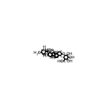 CC1=C2C[C@H]3[C@@H](CC=C4C[C@@H](OC5CC(CO)C(O)C(O)C5O)CC[C@@]43C)[C@@H]2CCC12O[C@@H]1C[C@H](C)CN[C@H]1[C@H]2C